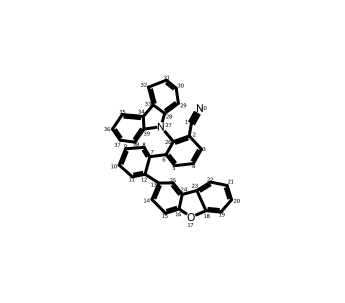 N#Cc1cccc(-c2ccccc2-c2ccc3oc4ccccc4c3c2)c1-n1c2ccccc2c2ccccc21